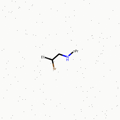 CCCNCC(Br)CC